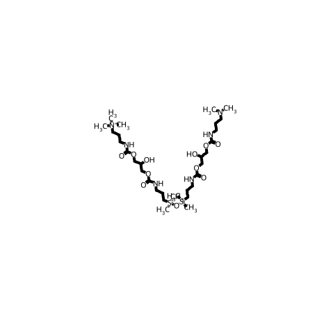 CN(C)CCCNC(=O)OCC(O)COC(=O)NCCC[Si](C)(C)O[Si](C)(C)CCCNC(=O)OCC(O)COC(=O)NCCC[N+](C)(C)C